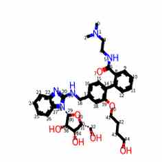 CN(C)CCNC(=O)c1ccccc1-c1ccc(CNc2nc3ccccc3n2[C@@H]2O[C@H](CO)[C@@H](O)[C@H]2O)cc1OCCCCO